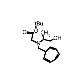 CC(CO)N(CC(=O)OC(C)(C)C)CC1C=CC=CC=C1